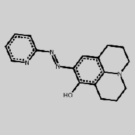 Oc1c(N=Nc2ccccn2)cc2c3c1CCCN3CCC2